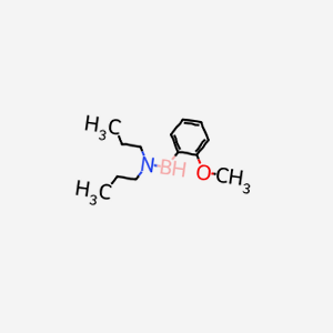 CCCN(Bc1ccccc1OC)CCC